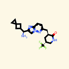 N[C@H](c1cn2nc(C[C@@H]3C[C@@H](C(F)(F)F)CNC3=O)ccc2n1)C1CC2(CC2)C1